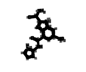 NC(=O)c1nc2c(C(=O)Nc3ncc[nH]3)cc([N+](=O)[O-])cc2[nH]1